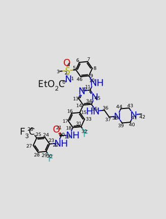 CCOC(=O)N=S(C)(=O)c1cccc(Nc2ncc(-c3ccc(NC(=O)Nc4cc(C(F)(F)F)ccc4F)c(F)c3)c(NCCN3CCN(C)CC3)n2)c1